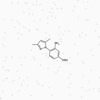 COc1ccc(-n2nc(C)cc2C)c(N)c1